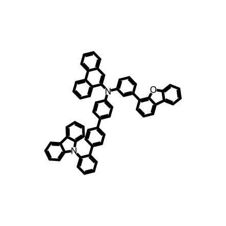 c1cc(-c2cccc3c2oc2ccccc23)cc(N(c2ccc(-c3ccc(-c4ccccc4-n4c5ccccc5c5ccccc54)cc3)cc2)c2cc3ccccc3c3ccccc23)c1